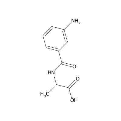 C[C@H](NC(=O)c1cccc(N)c1)C(=O)O